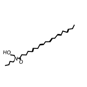 CCC=CCC=CCC=CCC=CCC=CCCCC(=O)N(CCO)CCCC